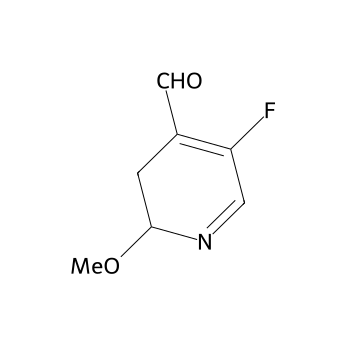 COC1CC(C=O)=C(F)C=N1